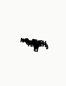 CC(C)(C)OC(=O)N1CC=C(Cl)C=c2[nH]c3c(c21)CN=NC=3[C@H]1CC[C@H](Oc2cccc(C#N)c2)CC1